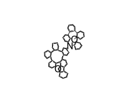 c1ccc(N(c2ccc3c(c2)c2ccccc2c2ccccc2c2ccccc2c2c3ccc3c4ccccc4oc32)c2cccc3c2Oc2ccccc2-c2ccccc2-3)cc1